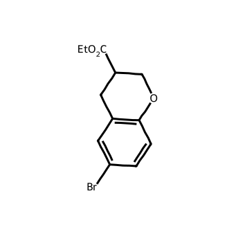 CCOC(=O)C1COc2ccc(Br)cc2C1